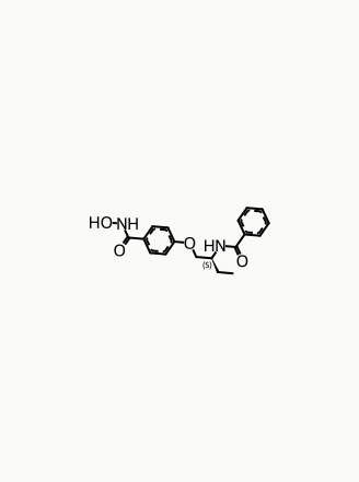 CC[C@@H](COc1ccc(C(=O)NO)cc1)NC(=O)c1ccccc1